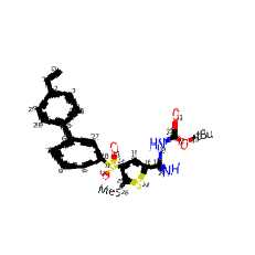 C=Cc1ccc(-c2cccc(S(=O)(=O)c3cc(C(=N)NC(=O)OC(C)(C)C)sc3SC)c2)cc1